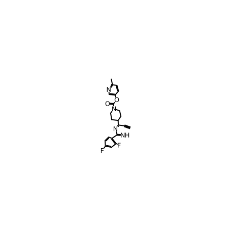 C#C/C(=N\C(=N)c1ccc(F)cc1F)C1CCN(C(=O)Oc2ccc(C)nc2)CC1